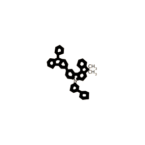 CC1(C)c2ccccc2-c2c1ccc1c2c2cc(-c3ccc4c(c3)-c3ccccc3C4c3ccccc3)ccc2n1-c1cccc(-c2ccccc2)c1